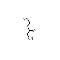 CCCCSC(=O)CC#N